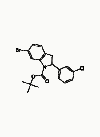 CC(C)(C)OC(=O)n1c(-c2cccc(Cl)c2)cc2ccc(Br)cc21